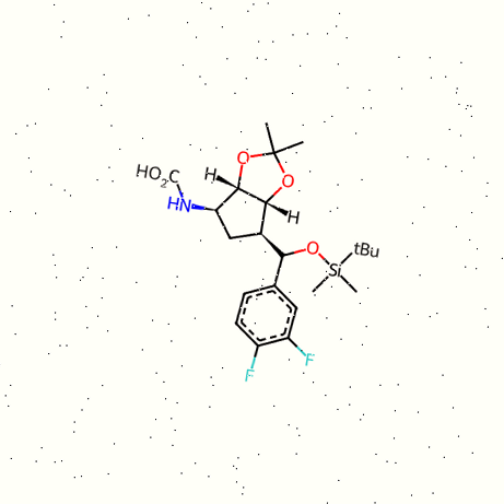 CC1(C)O[C@@H]2[C@H](O1)[C@@H](C(O[Si](C)(C)C(C)(C)C)c1ccc(F)c(F)c1)C[C@H]2NC(=O)O